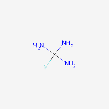 NC(N)(N)F